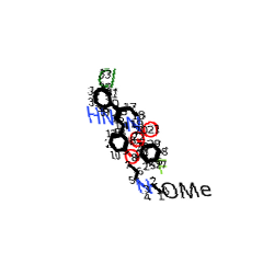 COCCN(C)CCCOc1cccc(C2C3=C(CCN2C(=O)Oc2ccc(F)cc2)C2C=C(Cl)C=CC2N3)c1